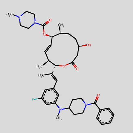 C/C(=C\c1cc(F)cc(N(C)C2CCN(C(=O)c3ccccc3)CC2)c1)[C@H]1OC(=O)C[C@H](O)CC[C@H](C)[C@H](OC(=O)N2CCN(C)CC2)/C=C/[C@@H]1C